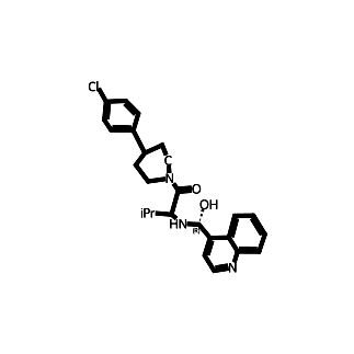 CC(C)C(N[C@H](O)c1ccnc2ccccc12)C(=O)N1CCC(c2ccc(Cl)cc2)CC1